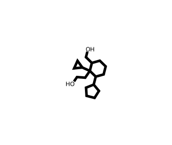 OCCC1(C2CC2)[C](C2CCCC2)CCCC1CO